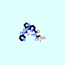 O=C(NC(CO)C(F)(F)F)c1ccc2c(n1)N(C(=O)Nc1cccnc1)[C@H]1CCN2C1